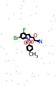 Cc1ccc(S(=O)(=O)n2c(C(=O)CC#N)cc3c(F)cc(Br)cc32)cc1